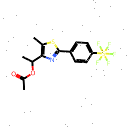 CC(=O)OC(C)c1nc(-c2ccc(S(F)(F)(F)(F)F)cc2)sc1C